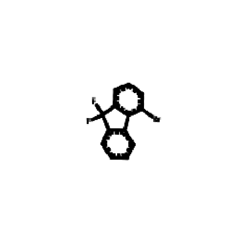 FC1(F)c2ccccc2-c2c(Br)cccc21